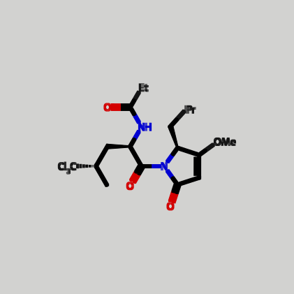 CCC(=O)N[C@H](C[C@H](C)C(Cl)(Cl)Cl)C(=O)N1C(=O)C=C(OC)[C@@H]1CC(C)C